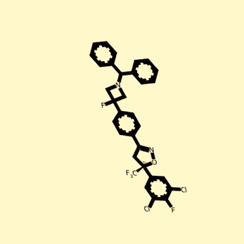 Fc1c(Cl)cc([C@]2(C(F)(F)F)CC(c3ccc(C4(F)CN(C(c5ccccc5)c5ccccc5)C4)cc3)=NO2)cc1Cl